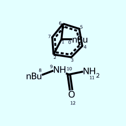 CCCCC1c2cccc1c2.CCCCNC(N)=O